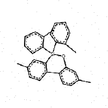 Cc1ccc2c(c1)O[Si](c1ccccc1C)(c1ccccc1C)c1cc(C)ccc1-2